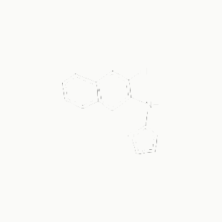 Clc1cc2ccccc2cc1Nc1ccco1